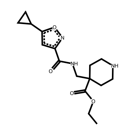 CCOC(=O)C1(CNC(=O)c2cc(C3CC3)on2)CCNCC1